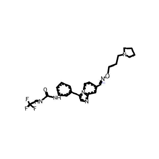 O=C(NCC(F)(F)F)Nc1cccc(-c2cnc3cc(/C=N/OCCCN4CCCC4)ccn23)c1